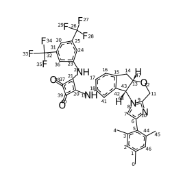 Cc1cc(C)c(-c2cn3c(n2)CO[C@H]2Cc4ccc(Nc5c(Nc6cc(C(F)(F)F)cc(C(F)(F)F)c6)c(=O)c5=O)cc4[C@H]23)c(C)c1